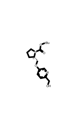 CC(C)(C)OC(=O)N1CCC[C@H]1COc1ccc(CO)nc1